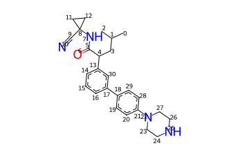 CC(C)CC(C(=O)NC1(C#N)CC1)c1cccc(-c2ccc(N3CCNCC3)cc2)c1